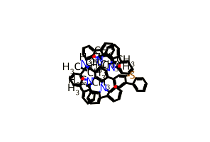 CC(C)(C)c1cccc2c3ccccc3n(-c3c(C#N)c(-n4c5ccccc5c5cccc(C(C)(C)C)c54)c(-n4c5ccccc5c5cccc(C(C)(C)C)c54)c(-c4ccc5c(c4)sc4ccccc45)c3-n3c4ccccc4c4cccc(C(C)(C)C)c43)c12